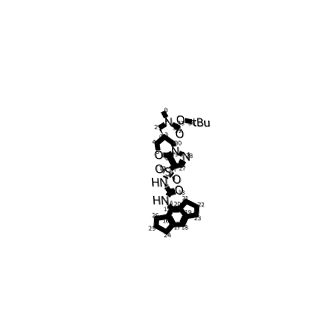 CN(C[C@H]1COc2c(S(=O)(=O)NC(=O)Nc3c4c(cc5c3CCC5)CCC4)cnn2C1)C(=O)OC(C)(C)C